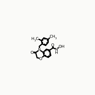 Cc1ccc(CN2C(=O)COc3ccc(C(=O)NO)cc32)c(C)c1